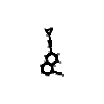 Nc1nccc2cc(C#CC3CC3)cnc12